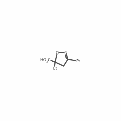 CCC1(C(=O)O)CC(C(C)C)=NO1